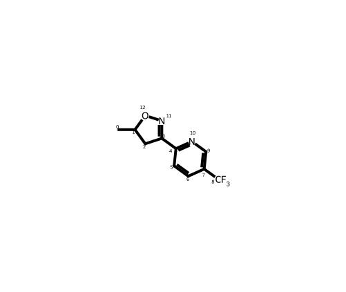 CC1CC(c2ccc(C(F)(F)F)cn2)=NO1